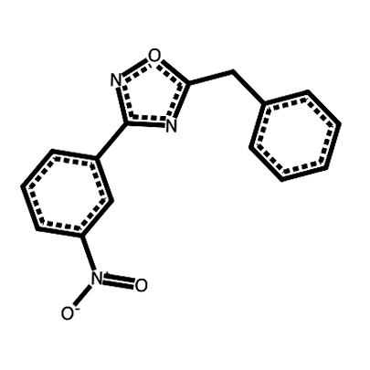 O=[N+]([O-])c1cccc(-c2noc(Cc3ccccc3)n2)c1